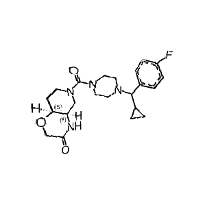 O=C1CO[C@H]2CCN(C(=O)N3CCN(C(c4ccc(F)cc4)C4CC4)CC3)C[C@H]2N1